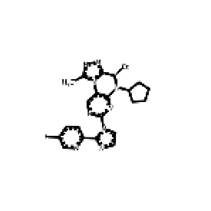 CC[C@@H]1c2nnc(C)n2-c2cnc(-n3ccnc3-c3ccc(F)cn3)nc2N1C1CCCC1